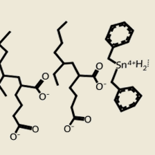 CCCCC(CC)CC(CCCC(=O)[O-])C(=O)[O-].CCCCC(CC)CC(CCCC(=O)[O-])C(=O)[O-].c1ccc([CH2][SnH2+4][CH2]c2ccccc2)cc1